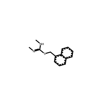 C/N=C(\NC)SCc1cccc2ccccc12